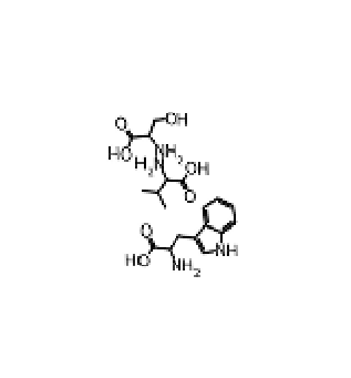 CC(C)C(N)C(=O)O.NC(CO)C(=O)O.NC(Cc1c[nH]c2ccccc12)C(=O)O